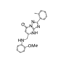 COc1ccccc1NCc1cc(=O)n2nc(-c3ccccc3C)nc2[nH]1